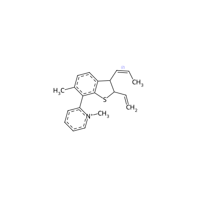 C=CC1Sc2c(ccc(C)c2-c2cccc[n+]2C)C1/C=C\C